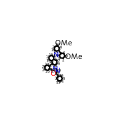 COc1ccc2c(c1)c1cc(OC)ccc1n2-c1cccc2c(-c3ccccc3-c3nnc(-c4ccccc4)o3)cccc12